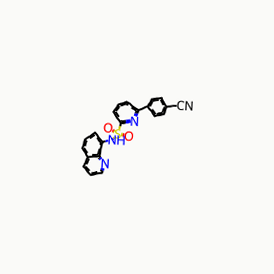 N#Cc1ccc(-c2cccc(S(=O)(=O)Nc3cccc4cccnc34)n2)cc1